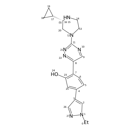 CCn1cc(-c2ccc(-c3cnc(N4CCN[C@@H](C5CC5)C4)nn3)c(O)c2)cn1